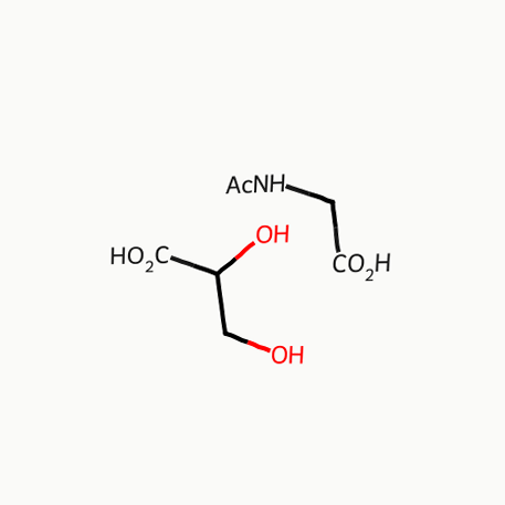 CC(=O)NCC(=O)O.O=C(O)C(O)CO